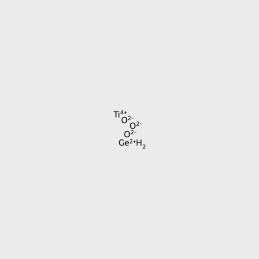 [GeH2+2].[O-2].[O-2].[O-2].[Ti+4]